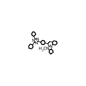 CN1c2ccccc2N2c3ccccc3C=C(c3ccc(-c4nc(-c5ccccc5)nc(-c5ccccc5)n4)cc3)C12